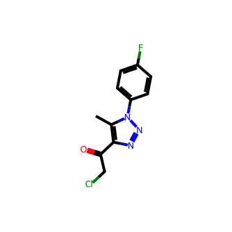 Cc1c(C(=O)CCl)nnn1-c1ccc(F)cc1